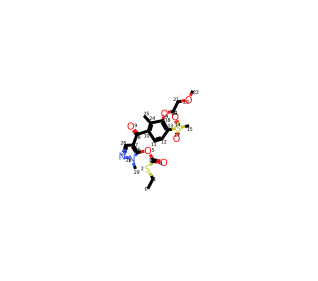 CCSC(=O)Oc1c(C(=O)c2ccc(S(C)(=O)=O)c(OCCOC)c2C)cnn1C